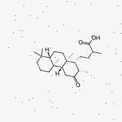 CC(CC[C@@H]1[C@H](C)C(=O)C[C@H]2[C@@]1(C)CC[C@H]1C(C)(C)CCC[C@]21C)C(=O)O